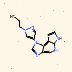 N#CCCn1cc(-n2cnc3c2=C2C=CNC2NC=3)cn1